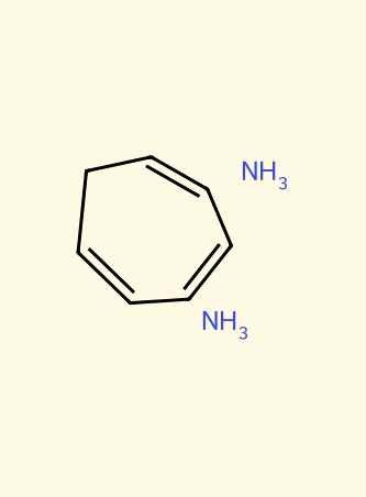 C1=CC=CCC=C1.N.N